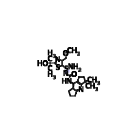 COCc1nc(C(C)(C)O)sc1/S(N)=N/C(=O)Nc1c2c(nc3c1CCC3(C)C)CCC2